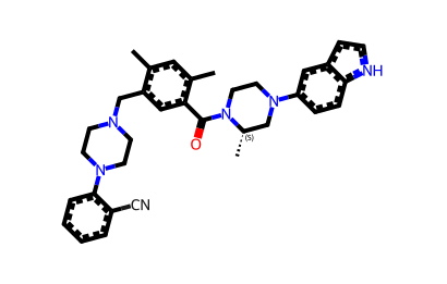 Cc1cc(C)c(C(=O)N2CCN(c3ccc4[nH]ccc4c3)C[C@@H]2C)cc1CN1CCN(c2ccccc2C#N)CC1